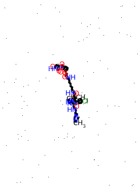 Cc1c(C(=O)NCCCCCCCCNC(=O)COc2cccc3c2C(=O)N(C2CCC(=O)NC2=O)C3=O)sc2c1C(c1ccc(Cl)cc1)=N[C@@H](CC(=O)NCCCN1CCN(C)CC1)c1nnc(C)n1-2